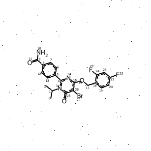 CC(C)n1c(-c2ccc(C(N)=O)cc2)nc(OCc2ccc(F)cc2F)c(Br)c1=O